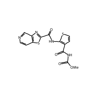 COC(=O)NC(=O)c1ccsc1NC(=O)c1nc2cnccc2s1